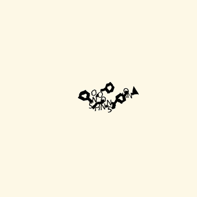 O=C(NC1CC1)c1ccc(-c2csc(NC(=O)C3CSC(c4ccccc4)N3C(=O)OCc3ccccc3)n2)cc1